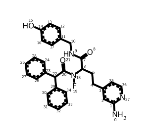 Nc1cc(CCC(C(=O)NCc2ccc(O)cc2)N(F)C(=O)C(c2ccccc2)c2ccccc2)ccn1